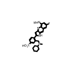 CNc1cc(F)cc2cc3[nH]c(-c4ccc(C(=O)O)cc4CN(C)C4CCCCC4)cc3nc12